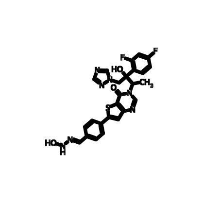 CC(n1cnc2cc(-c3ccc(C=NNO)cc3)sc2c1=O)C(O)(Cn1cncn1)c1ccc(F)cc1F